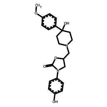 COc1ccc(C2(O)CCN(CC3CN(c4ccc(O)cc4)C(=O)O3)CC2)cc1